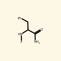 CC(C)CC(NF)C(N)=O